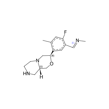 C/N=C/c1cc([C@@H]2CN3CCNC[C@H]3CO2)c(C)cc1F